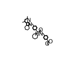 COC(=O)c1ccc(CNC(=O)C(c2ccc(Cn3c4c(c5c(C)cc(C)nc53)CCCC4)cc2)C2CCCCCC2)cc1